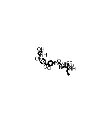 C#CCc1[nH]nc(C(F)(F)F)c1-c1cnc(C(=O)NCc2ccc(C(=O)N3CCN(C(=O)[C@@H]4C[C@@H](O)CN4)CC3)c(Cl)c2)[nH]1